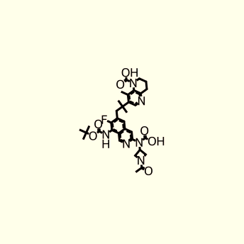 CC(=O)N1CC(N(C(=O)O)c2cc3cc(CC(C)(C)c4cnc5c(c4C)N(C(=O)O)CCC5)c(F)c(NC(=O)OC(C)(C)C)c3cn2)C1